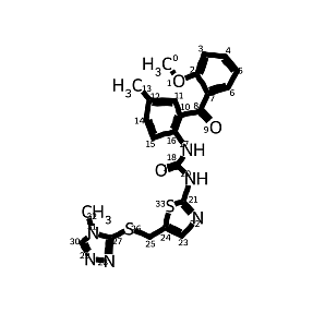 COc1ccccc1C(=O)c1cc(C)ccc1NC(=O)Nc1ncc(CSc2nncn2C)s1